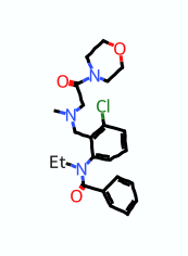 CCN(C(=O)c1ccccc1)c1cccc(Cl)c1CN(C)CC(=O)N1CCOCC1